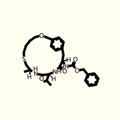 CC(C)[C@@H]1NC(=O)[C@@H](NC(=O)OCc2ccccc2)Cc2ccc(cc2)OCCCCSC[C@@H](C)NC1=O